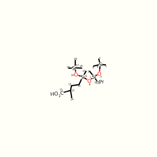 CCC[Si](C)(O[Si](C)(C)C)O[Si](C)(CCC(C)C(=O)O)O[Si](C)(C)C